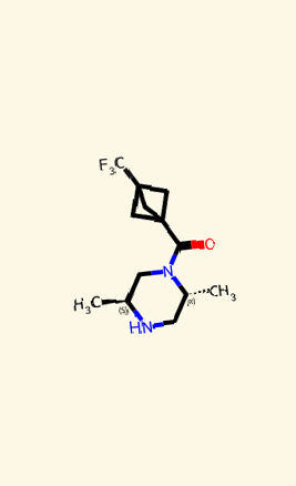 C[C@@H]1CN[C@@H](C)CN1C(=O)C12CC(C(F)(F)F)(C1)C2